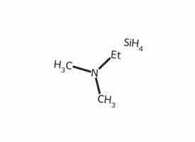 CCN(C)C.[SiH4]